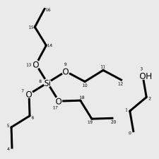 CCCO.CCCO[Si](OCCC)(OCCC)OCCC